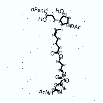 CCCCC[C@H](O)CC[C@@H]1[C@@H](C/C=C\CCCC(=O)OCC/C=N/S(=O)(=O)c2nnc(NC(C)=O)s2)[C@@H](OC(C)=O)C[C@H]1O